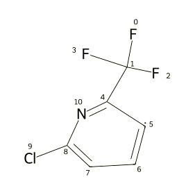 FC(F)(F)c1[c]ccc(Cl)n1